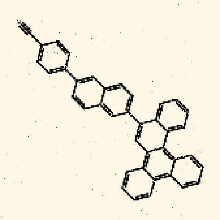 N#Cc1ccc(-c2ccc3cc(-c4cc5c6ccccc6c6ccccc6c5c5ccccc45)ccc3c2)cc1